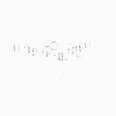 CNC(=O)N1CCn2c(C3CCOCC3)nc(-c3cccc4cc(-c5cnn(C)c5)ncc34)c2C1